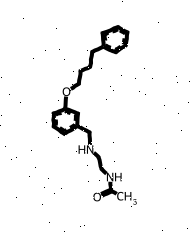 CC(=O)NCCNCc1cccc(OCCCCc2ccccc2)c1